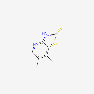 Cc1cnc2[nH]c(=S)sc2c1C